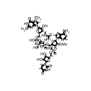 CCCC(=O)NC[C@H]1[C@@H](O)[C@H](n2c[n+](C)c3c(=O)[nH]c(N)nc32)O[C@@H]1COP(=O)(O)OP(=O)(O)OP(=O)(O)OCC1O[C@@H](n2cnc3c(N)ncnc32)[C@H](OC)[C@@H]1OP(=O)(O)OC[C@H]1O[C@@H](n2ccc(=O)[nH]c2=O)[C@H](O)[C@@H]1O